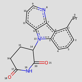 CC(C)c1cccc2c1c1ncccc1n2C1CCC(=O)NC1=O